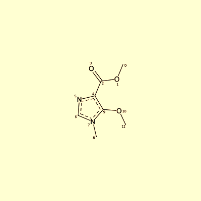 COC(=O)c1ncn(C)c1OC